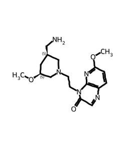 COc1ccc2ncc(=O)n(CCN3C[C@H](CN)C[C@H](OC)C3)c2n1